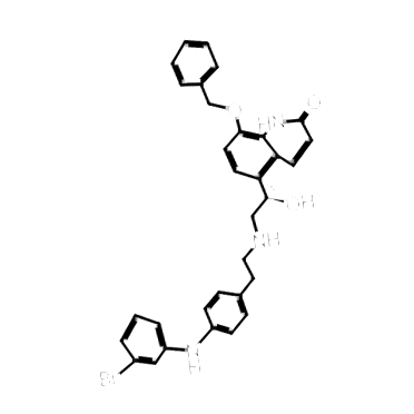 O=c1ccc2c([C@@H](O)CNCCc3ccc(Nc4cccc(Br)c4)cc3)ccc(OCc3ccccc3)c2[nH]1